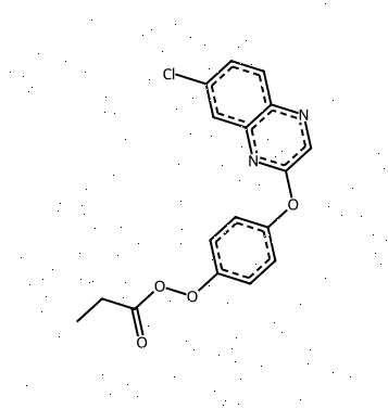 CCC(=O)OOc1ccc(Oc2cnc3ccc(Cl)cc3n2)cc1